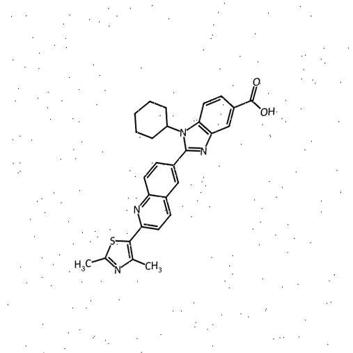 Cc1nc(C)c(-c2ccc3cc(-c4nc5cc(C(=O)O)ccc5n4C4CCCCC4)ccc3n2)s1